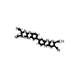 C#Cc1nc2nc3cc(-c4ccc5nc6nc(C#N)c(C#N)nc6nc5c4)ccc3nc2cc1C#N